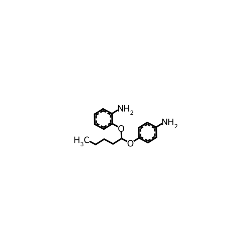 CCCCC(Oc1ccc(N)cc1)Oc1ccccc1N